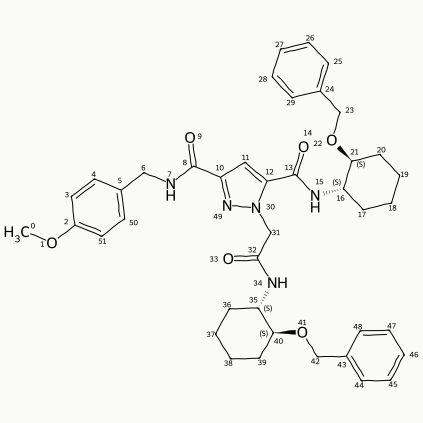 COc1ccc(CNC(=O)c2cc(C(=O)N[C@H]3CCCC[C@@H]3OCc3ccccc3)n(CC(=O)N[C@H]3CCCC[C@@H]3OCc3ccccc3)n2)cc1